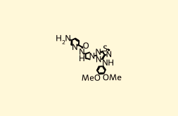 COc1ccc(Nc2nc(N3CCC(NC(=O)c4ccc(N)cn4)C3)nc3scnc23)cc1OC